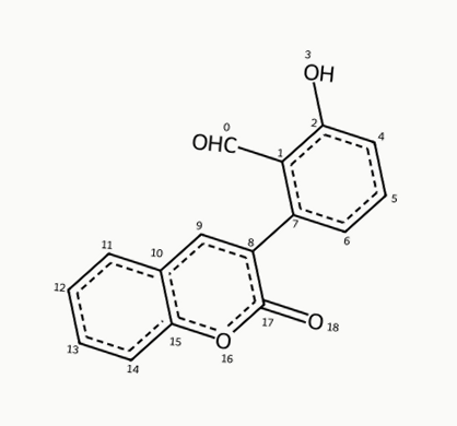 O=Cc1c(O)cccc1-c1cc2ccccc2oc1=O